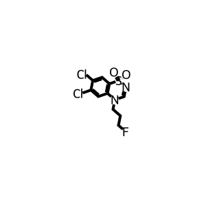 O=S1(=O)N=CN(CCCF)c2cc(Cl)c(Cl)cc21